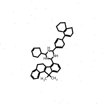 CC1(C)C2=C(CCc3ccccc32)c2c(C3NC(C4=CCC(C5=CCCC6=C5CCCC6)C=C4)NC(C4CC=CCC4)N3)cccc21